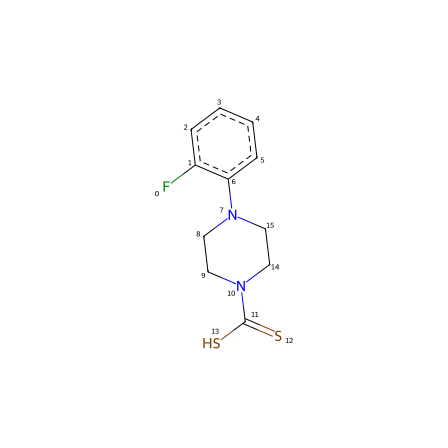 Fc1ccccc1N1CCN(C(=S)S)CC1